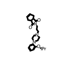 CC(C)Oc1ccccc1N1CCN(CCCN2C(=O)C3CC=CCC3C2=O)CC1